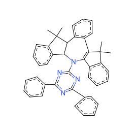 CC1(C)C2=C(c3ccccc31)N(c1nc(-c3ccccc3)nc(-c3ccccc3)n1)C1c3ccccc3C(C)(C)C1c1ccccc12